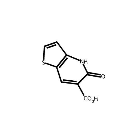 O=C(O)c1cc2sccc2[nH]c1=O